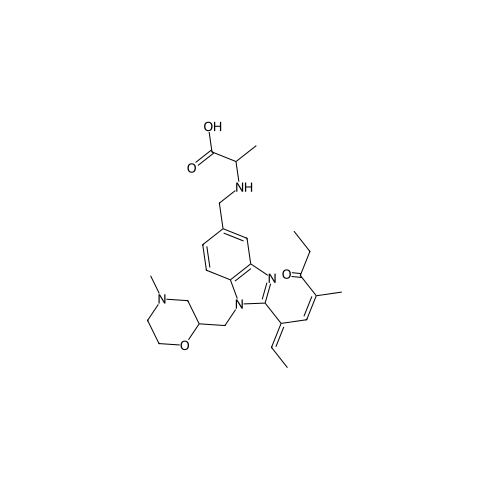 C/C=C(\C=C(\C)C(=O)CC)c1nc2cc(CNC(C)C(=O)O)ccc2n1CC1CN(C)CCO1